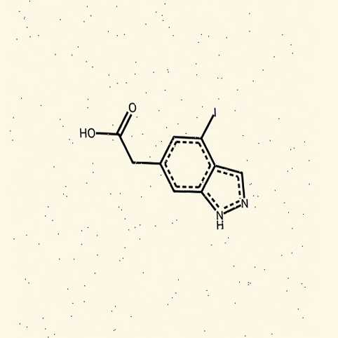 O=C(O)Cc1cc(I)c2cn[nH]c2c1